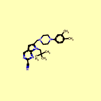 Cc1ccc(N2CCN(Cc3cc4cnc(C#N)nc4n3CC(C)(C)C)CC2)cc1C